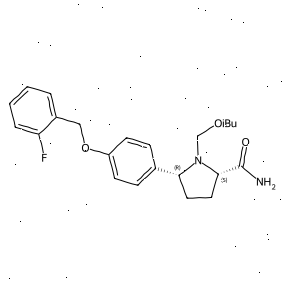 CC(C)COCN1[C@@H](c2ccc(OCc3ccccc3F)cc2)CC[C@H]1C(N)=O